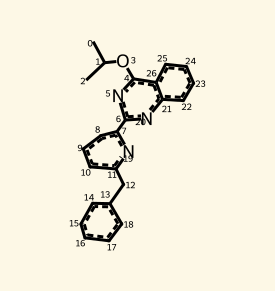 CC(C)Oc1nc(-c2cccc(Cc3ccccc3)n2)nc2ccccc12